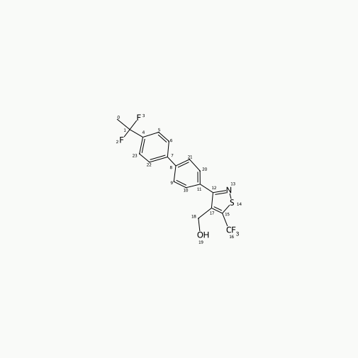 CC(F)(F)c1ccc(-c2ccc(-c3nsc(C(F)(F)F)c3CO)cc2)cc1